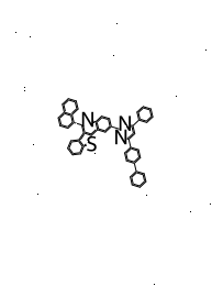 c1ccc(-c2ccc(-c3cc(-c4ccccc4)nc(-c4ccc5nc(-c6cccc7ccccc67)c6c7ccccc7sc6c5c4)n3)cc2)cc1